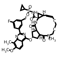 COc1ccc2c(O[C@@H]3C[C@H]4C(=O)N[C@]5(C(=O)NS(=O)(=O)C6CC6)C[C@@H]5/C=C\CCCCN(C)C(=O)[C@@H]4C3)nc(-c3cc(F)cc(F)c3)nc2c1C